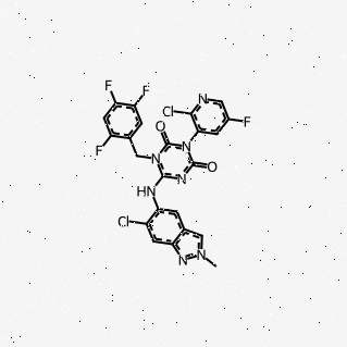 Cn1cc2cc(Nc3nc(=O)n(-c4cc(F)cnc4Cl)c(=O)n3Cc3cc(F)c(F)cc3F)c(Cl)cc2n1